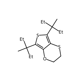 CCC(C)(CC)c1sc(C(C)(CC)CC)c2c1OCCS2